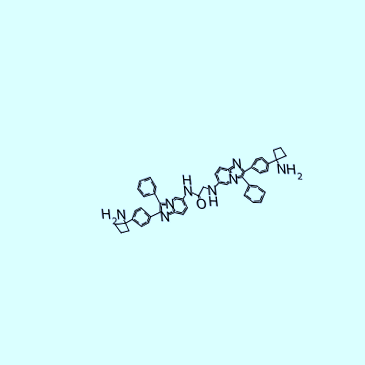 NC1(c2ccc(-c3nc4ccc(NCC(=O)Nc5ccc6nc(-c7ccc(C8(N)CCC8)cc7)c(-c7ccccc7)n6c5)cn4c3-c3ccccc3)cc2)CCC1